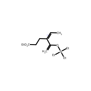 C=C(O[Si](CC)(CC)CC)/C(=C\C)CCC(=O)OCC